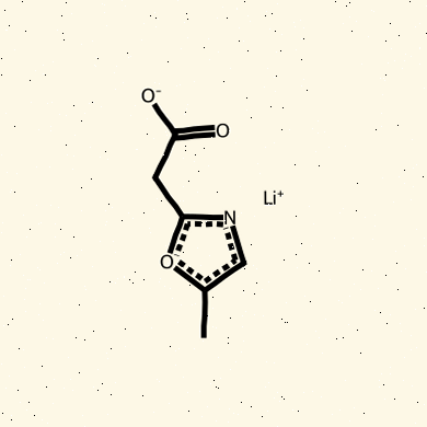 Cc1cnc(CC(=O)[O-])o1.[Li+]